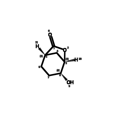 O=C1O[C@@H]2C[C@H]1CC[C@H]2O